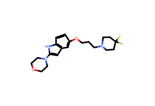 FC1(F)CCN(CCCOc2ccc3[nH]c(N4CCOCC4)cc3c2)CC1